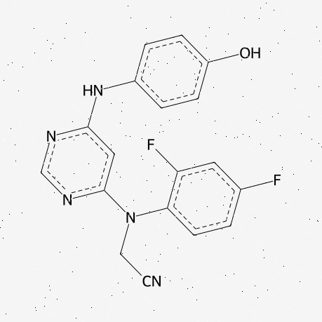 N#CCN(c1cc(Nc2ccc(O)cc2)ncn1)c1ccc(F)cc1F